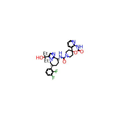 CCC(O)(CC)c1cnc2n1C[C@H](c1cccc(F)c1F)CC[C@H]2NC(=O)N1CCC2(CC1)OC(=O)Nc1ncccc12